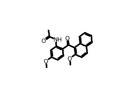 COc1ccc(C(=O)c2c(OC)ccc3ccccc23)c(NC(C)=O)c1